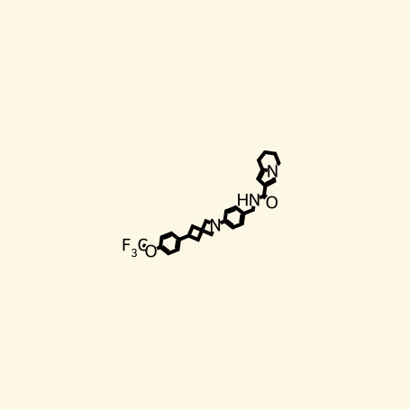 O=C(NCc1ccc(N2CC3(CC(c4ccc(OC(F)(F)F)cc4)C3)C2)cc1)c1cc2n(c1)CCCC2